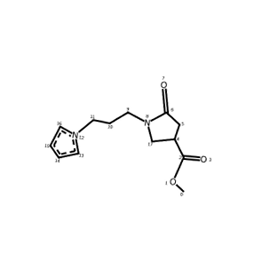 COC(=O)C1CC(=O)N(CCCn2cccc2)C1